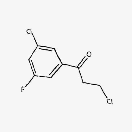 O=C(CCCl)c1cc(F)cc(Cl)c1